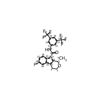 C[C@@H]1OCCc2c1n(C(=O)Nc1cc(C(F)(F)F)cc(C(F)(F)F)c1)c1ccc(F)cc21